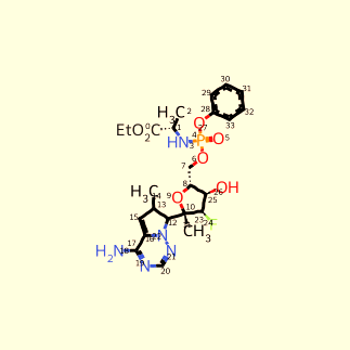 CCOC(=O)[C@H](C)NP(=O)(OC[C@H]1O[C@@](C)(C2C(C)C=C3C(N)=NC=NN32)[C@H](F)[C@@H]1O)Oc1ccccc1